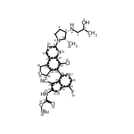 C[C@H](O)CN[C@H]1CCN(c2ncc3c4c(c(-c5ncc(F)c6sc(NC(=O)OC(C)(C)C)c(C#N)c56)c(Cl)c3n2)COC4)[C@H]1C